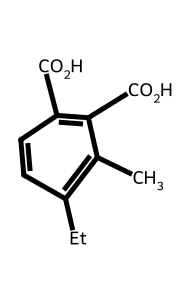 CCc1ccc(C(=O)O)c(C(=O)O)c1C